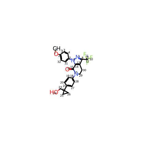 COc1ccc(-n2nc(C(F)(F)F)c3c2C(=O)N(c2ccc(C4(CO)CC4)cc2)CC3)cc1